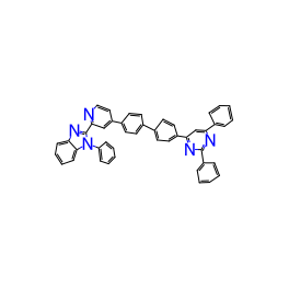 c1ccc(-c2cc(-c3ccc(-c4ccc(-c5ccnc(-c6nc7ccccc7n6-c6ccccc6)c5)cc4)cc3)nc(-c3ccccc3)n2)cc1